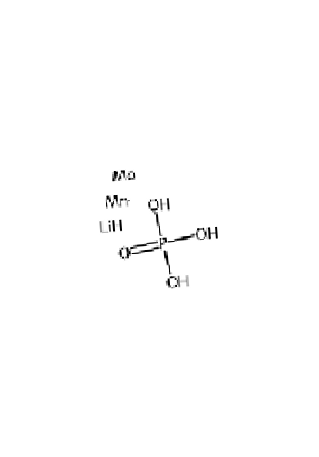 O=P(O)(O)O.[LiH].[Mn].[Mo]